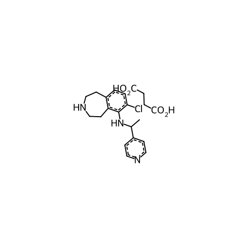 CC(Nc1c(Cl)ccc2c1CCNCC2)c1ccncc1.O=C(O)CCC(=O)O